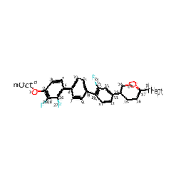 CCCCCCCCOc1ccc(-c2ccc(-c3ccc(C4CCC(CCCCCCC)OC4)cc3F)cc2)c(F)c1F